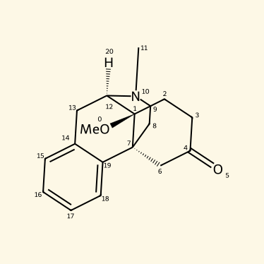 CO[C@@]12CCC(=O)C[C@@]13CCN(C)[C@@H]2Cc1ccccc13